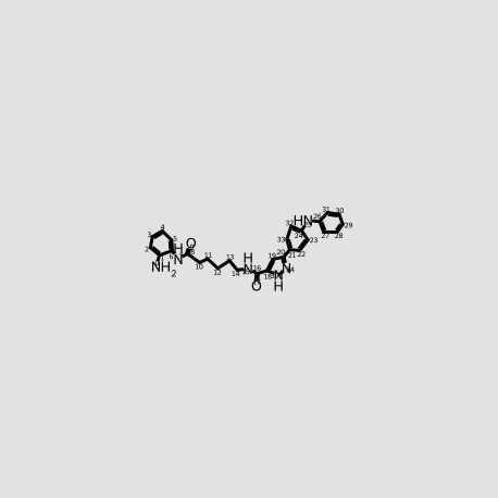 Nc1ccccc1NC(=O)CCCCCNC(=O)c1cc(-c2ccc(Nc3ccccc3)cc2)n[nH]1